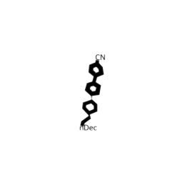 CCCCCCCCCCCC[C@H]1CC[C@H](c2ccc(-c3ccc(C#N)cc3)cc2)CC1